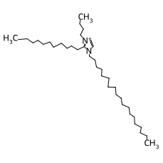 CCCCCCCCCCCCCCCCCCCn1cc[n+](CCCC)c1CCCCCCCCCCCC